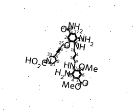 COC(=O)c1cc(N)c(NCC=CCNc2c(N)cc(C(N)=O)cc2OCC#CC2CCN(C(=O)O)C2)c(OC)c1